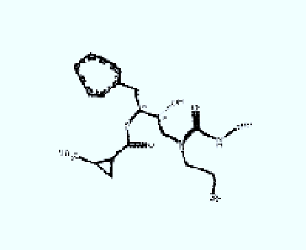 CC(C)CCN(C[C@@H](O)[C@H](Cc1ccccc1)OC(=O)C1CC1C(=O)O)C(=O)NC(C)(C)C